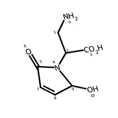 NCC(C(=O)O)N1C(=O)C=CC1O